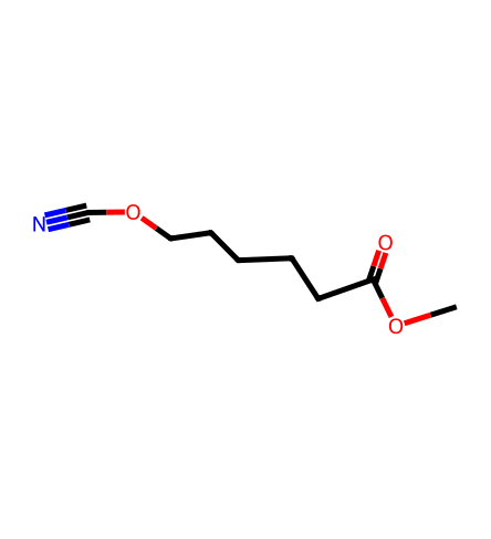 COC(=O)CCCCCOC#N